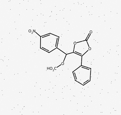 O=C(O)OC(c1ccc([N+](=O)[O-])cc1)c1oc(=O)oc1-c1ccccc1